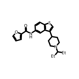 CCC(CC)N1CCC(c2csc3ccc(NC(=O)c4ccco4)cc23)CC1